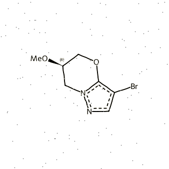 CO[C@H]1COc2c(Br)cnn2C1